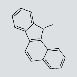 Cn1c2ccccc2c2ccc3ccccc3c21